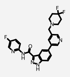 O=C(Nc1ccc(F)cn1)c1n[nH]c2ccc(-c3cncc(CN4CCC(F)(F)CC4)c3)cc12